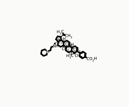 C=C(C)[C@@H]1CC[C@]2(CNCCN3CCCCC3)CC[C@]3(C)[C@H](CC[C@@H]4[C@@]5(C)CC=C(c6ccc(C(=O)O)cc6)C(C)(C)[C@@H]5CC[C@]43C)[C@@H]12